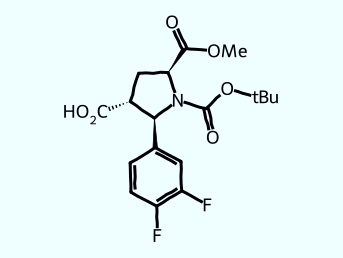 COC(=O)[C@@H]1C[C@@H](C(=O)O)[C@H](c2ccc(F)c(F)c2)N1C(=O)OC(C)(C)C